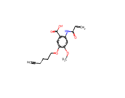 C#CCCCCOc1cc(C(=O)O)c(NC(=O)C=C)cc1OC